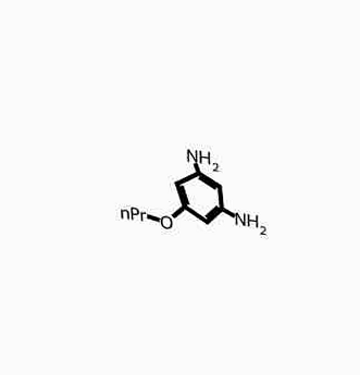 CCCOc1cc(N)cc(N)c1